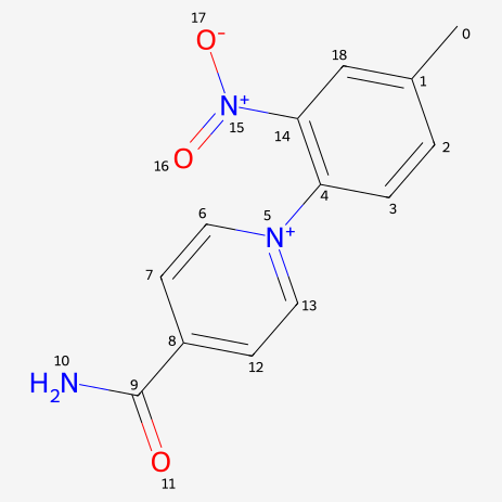 Cc1ccc(-[n+]2ccc(C(N)=O)cc2)c([N+](=O)[O-])c1